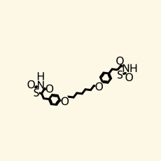 O=C1NC(=O)C(Cc2ccc(OCCCCCCCOc3ccc(CC4SC(=O)NC4=O)cc3)cc2)S1